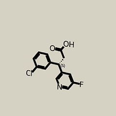 O=C(O)C[C@H](c1cncc(F)c1)c1cccc(Cl)c1